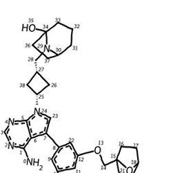 Nc1ncnc2c1c(-c1cccc(OCC34CCC(CC3)O4)c1)cn2[C@H]1C[C@@H](CN2C3CCCC2(O)CC3)C1